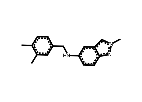 Cc1ccc(CNc2ccc3nn(C)cc3c2)cc1C